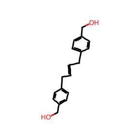 OCc1ccc(CC=CCc2ccc(CO)cc2)cc1